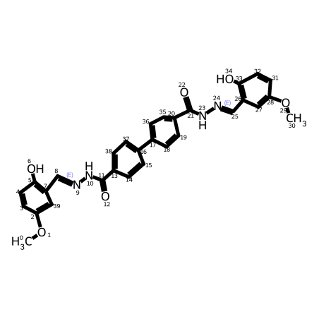 COc1ccc(O)c(/C=N/NC(=O)c2ccc(-c3ccc(C(=O)N/N=C/c4cc(OC)ccc4O)cc3)cc2)c1